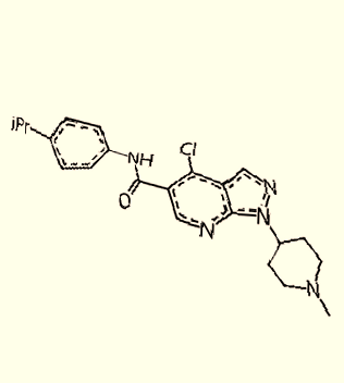 CC(C)c1ccc(NC(=O)c2cnc3c(cnn3C3CCN(C)CC3)c2Cl)cc1